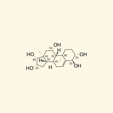 C[C@]12C[C@H](O)[C@H]3[C@@H](CC=C4[C@H](O)[C@@H](O)CC[C@@]43C)[C@@H]1C[C@H](O)[C@@H]2O